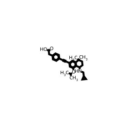 CC(C)Oc1cc(C#Cc2ccc(CC(=O)O)cc2)cc2c1C(NCC1CC1)CCC2(C)C